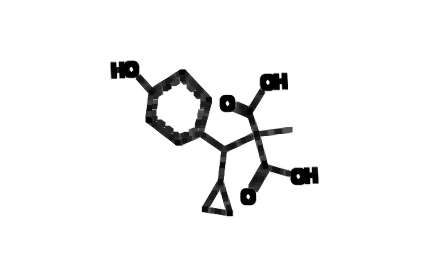 CC(C(=O)O)(C(=O)O)C(c1ccc(O)cc1)C1CC1